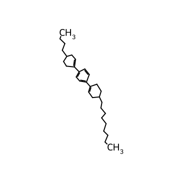 CCCCCCCCCC1CC=C(c2ccc(C3=CCC(CCCC)CC3)cc2)CC1